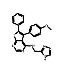 COc1ccc(-c2c(-c3ccccc3)oc3ncnc(NCc4nnc[nH]4)c23)cc1